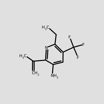 C=C(C)c1nc(CC)c(C(F)(F)F)cc1N